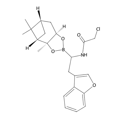 CC1(C)[C@@H]2C[C@H]3OB(C(Cc4coc5ccccc45)NC(=O)CCl)O[C@@]3(C)[C@H]1C2